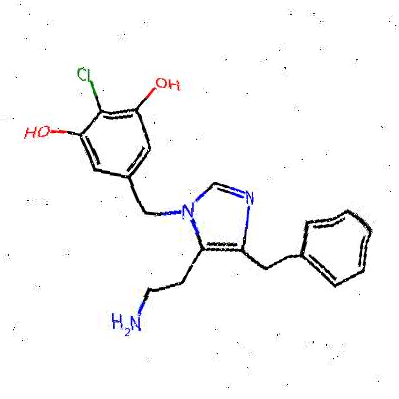 NCCc1c(Cc2ccccc2)ncn1Cc1cc(O)c(Cl)c(O)c1